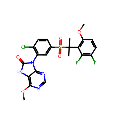 COc1ccc(F)c(F)c1C(C)(C)S(=O)(=O)c1ccc(Cl)c(-n2c(=O)[nH]c3c(OC)ncnc32)c1